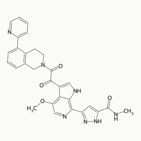 CNC(=O)c1cc(-c2ncc(OC)c3c(C(=O)C(=O)N4CCc5c(cccc5-c5ccccn5)C4)c[nH]c23)n[nH]1